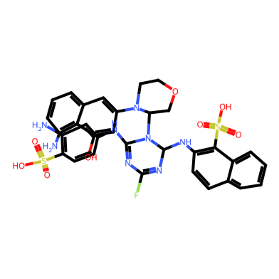 Nc1cc(NC2=NC(F)=NC(Nc3ccc4ccccc4c3S(=O)(=O)O)N2C2COCCN2c2cc(O)c3c(N)cccc3c2)ccc1S(=O)(=O)O